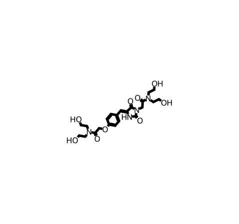 O=C(COc1ccc(/C=C2\NC(=O)N(CC(=O)N(CCO)CCO)C2=O)cc1)N(CCO)CCO